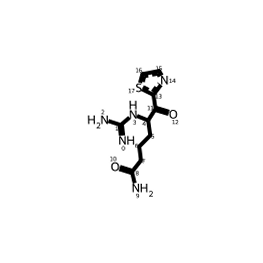 N=C(N)NC(CCCC(N)=O)C(=O)c1nccs1